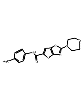 COc1ccc(NC(=O)c2cc3sc(N4CCOCC4)nc3s2)cc1